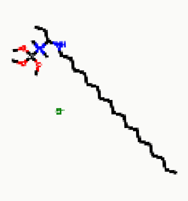 CCCCCCCCCCCCCCCCCCNC(CC)[N+](C)(C)[Si](OC)(OC)OC.[Cl-]